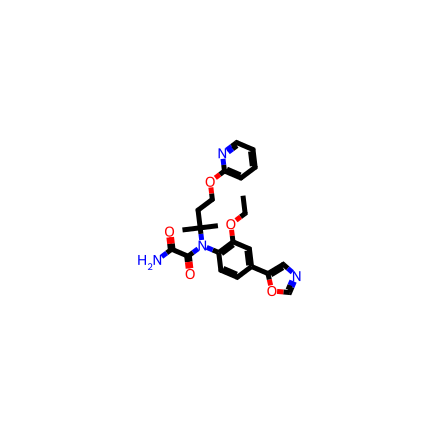 CCOc1cc(-c2cnco2)ccc1N(C(=O)C(N)=O)C(C)(C)CCOc1ccccn1